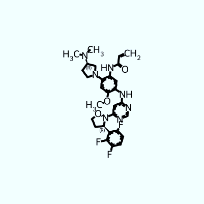 C=CC(=O)Nc1cc(Nc2cc(N3OCC[C@@H]3c3c(F)ccc(F)c3F)ncn2)c(OC)cc1N1CC[C@@H](N(C)C)C1